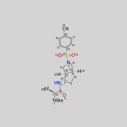 CCC[C@H](NC)C(=O)N[C@H]1CC[C@@H]2CN(S(=O)(=O)c3ccc(C#N)cc3)C[C@@H]21